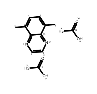 Cc1ccc(C)c2nccnc12.O=C(O)S.O=C(O)S